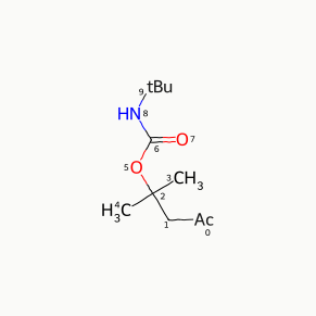 CC(=O)CC(C)(C)OC(=O)NC(C)(C)C